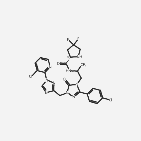 O=C(NC(Cn1c(-c2ccc(Cl)cc2)nn(Cc2ncn(-c3ncccc3Cl)n2)c1=O)C(F)(F)F)[C@@H]1CC(F)(F)CN1